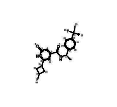 C[C@@H](NC(=O)c1cc(=O)[nH]c(N2CC(F)C2)n1)c1ccc(C(F)(F)F)cc1